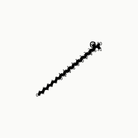 CCCCCCCCCCCCCCCCCCCCCCCCCCCC(=O)C(C)C